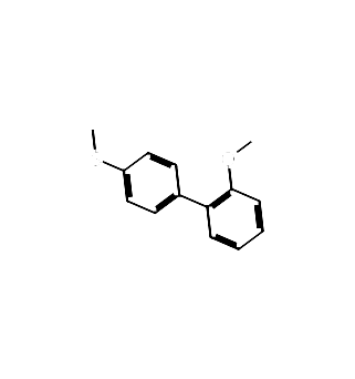 COc1ccc[c]c1-c1ccc(SC)cc1